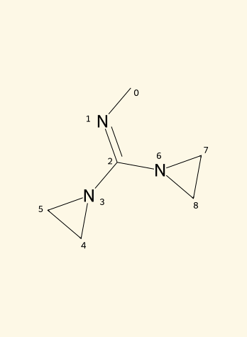 CN=C(N1CC1)N1CC1